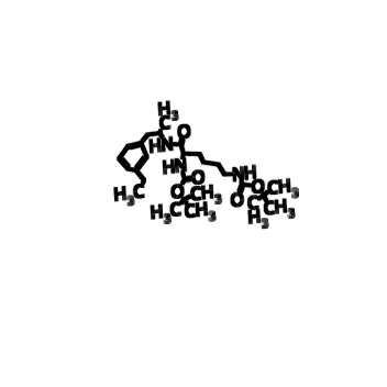 CCc1cccc(CC(C)NC(=O)C(CCCCNC(=O)OC(C)(C)C)NC(=O)OC(C)(C)C)c1